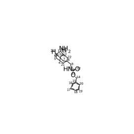 NC1[C@@H]2CC3C[C@H]1CC(CNC(=O)OCc1ccccc1)(C3)C2